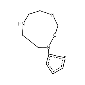 c1csc(N2CCNCCNCC2)c1